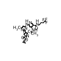 Cc1cc(Nc2cc(NC(C)C)c(C(=O)NCCCC(F)(F)F)cn2)nc(-c2cnn(S(=O)(=O)C3CC3)c2)n1